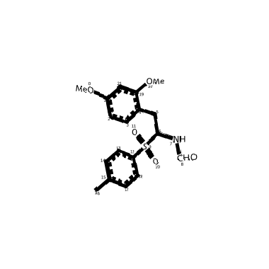 COc1ccc(CC(NC=O)S(=O)(=O)c2ccc(C)cc2)c(OC)c1